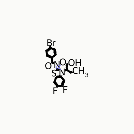 CCC(C(=O)O)n1/c(=N/C(=O)c2ccc(Br)cc2)sc2cc(F)c(F)cc21